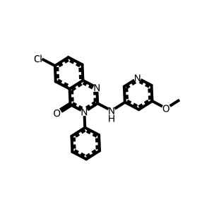 COc1cncc(Nc2nc3ccc(Cl)cc3c(=O)n2-c2ccccc2)c1